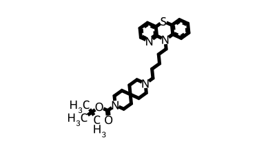 CC(C)(C)OC(=O)N1CCC2(CCN(CCCCCN3c4ccccc4Sc4cccnc43)CC2)CC1